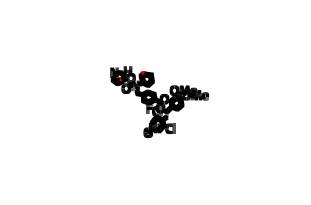 COc1ccc([C@H](Cc2c(Cl)c[n+]([O-])cc2Cl)OC(=O)c2ccc(CN(C(=O)O[C@H]3CN4CCC3CC4)c3ccccc3)cc2F)cc1OC